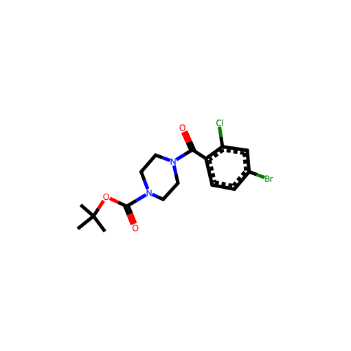 CC(C)(C)OC(=O)N1CCN(C(=O)c2ccc(Br)cc2Cl)CC1